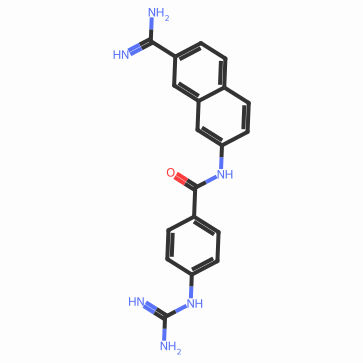 N=C(N)Nc1ccc(C(=O)Nc2ccc3ccc(C(=N)N)cc3c2)cc1